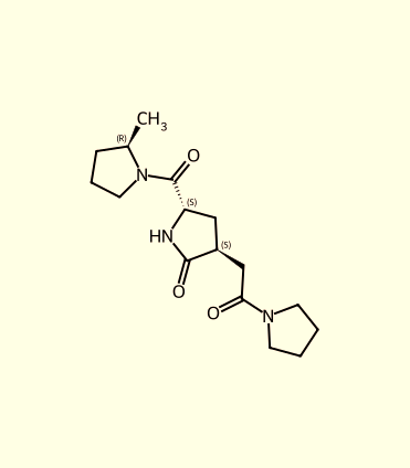 C[C@@H]1CCCN1C(=O)[C@@H]1C[C@@H](CC(=O)N2CCCC2)C(=O)N1